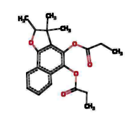 CCC(=O)Oc1c2c(c3ccccc3c1OC(=O)CC)OC(C)C2(C)C